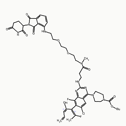 C=C/C=C(O)\C(=C(/C)F)c1c(Cl)cc2c(N3CCN(C(=O)OC(C)(C)C)CC3)nc(NCCC(=O)N(C)CCOCCOCCNc3cccc4c3C(=O)N(C3CCC(=O)NC3=O)C4=O)nc2c1F